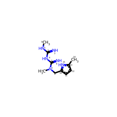 CNC(=N)NC(=N)N(C)Cc1ccc(C)[nH]1